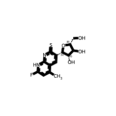 Cc1cc(F)[nH]c2nc(=S)c([C@@H]3O[C@H](CO)C(O)[C@@H]3O)cc1-2